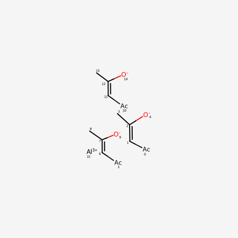 CC(=O)/C=C(/C)[O-].CC(=O)/C=C(/C)[O-].CC(=O)/C=C(/C)[O-].[Al+3]